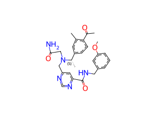 COc1cccc(CNC(=O)c2cc(CN(CC(N)=O)[C@@H](C)c3ccc(C(C)=O)c(C)c3)ncn2)c1